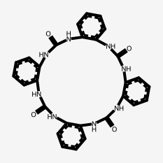 O=C1Nc2ccccc2NC(=O)Nc2ccccc2NC(=O)Nc2ccccc2NC(=O)Nc2ccccc2N1